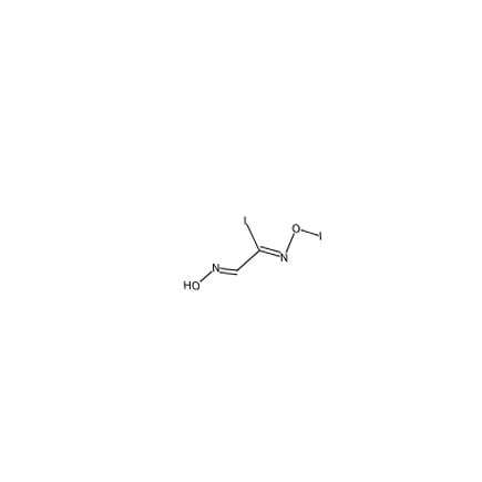 ON=CC(I)=NOI